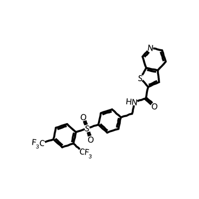 O=C(NCc1ccc(S(=O)(=O)c2ccc(C(F)(F)F)cc2C(F)(F)F)cc1)c1cc2ccncc2s1